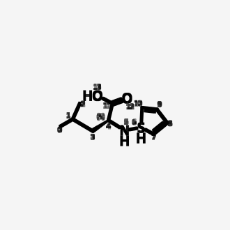 CC(C)C[C@H](N[SH]1C=CC=C1)C(=O)O